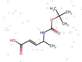 CC(/C=C/C(=O)O)NC(=O)OC(C)(C)C